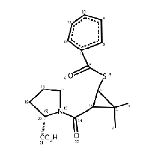 CC1(C)C(SC(=O)c2ccccc2)C1C(=O)N1CCC[C@H]1C(=O)O